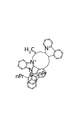 C=C1CC2C(CCc3ccc4c(oc5ccccc54)c3-c3n(-c4c(CCC)cccc4CCC)c4ccccc4[n+]3C1)c1ccccc1-c1cccc[n+]12